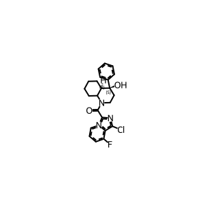 O=C(c1nc(Cl)c2c(F)cccn12)N1CC[C@@](O)(c2ccccc2)[C@@H]2CCCCC21